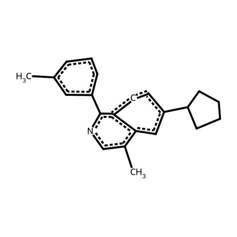 Cc1cccc(-c2ncc(C)c3cc(C4CCCC4)ccc23)c1